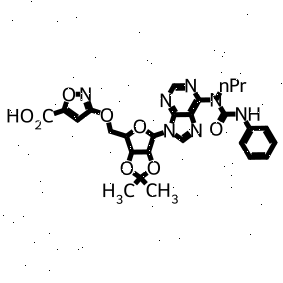 CCCN(C(=O)Nc1ccccc1)c1ncnc2c1ncn2C1OC(COc2cc(C(=O)O)on2)C2OC(C)(C)OC21